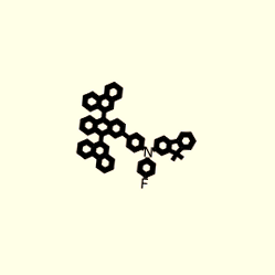 CC1(C)c2ccccc2-c2ccc(N(c3ccc(F)cc3)c3ccc(-c4ccc5c(-c6cc7ccccc7c7ccccc67)c6ccccc6c(-c6cc7ccccc7c7ccccc67)c5c4)cc3)cc21